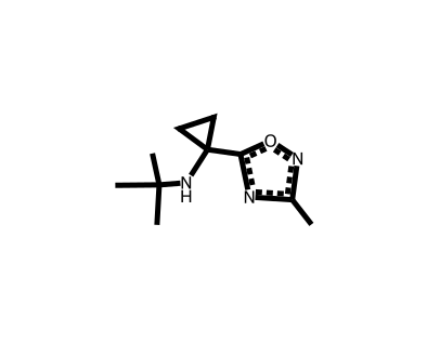 Cc1noc(C2(NC(C)(C)C)CC2)n1